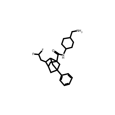 NCC1CCC(NC(=O)C23CC4CC(c5ccccc5)(CC2C4CC(F)F)C3)CC1